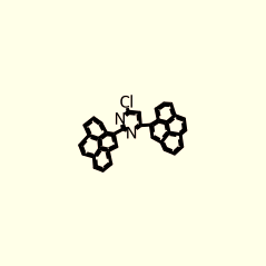 Clc1cc(-c2cc3cccc4ccc5cccc2c5c43)nc(-c2cc3cccc4ccc5cccc2c5c43)n1